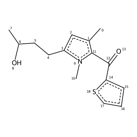 Cc1cc(CCC(C)O)n(C)c1C(=O)c1cccs1